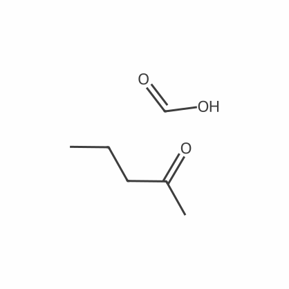 CCCC(C)=O.O=CO